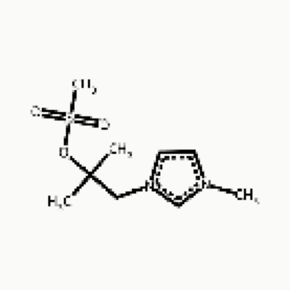 Cn1cc[n+](CC(C)(C)OS(C)(=O)=O)c1